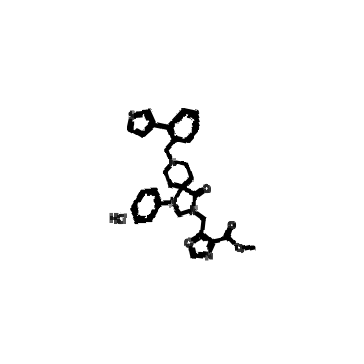 COC(=O)c1ncoc1CN1CN(c2ccccc2)C2(CCN(Cc3ccccc3-c3ccsc3)CC2)C1=O.Cl